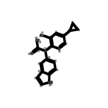 CC(=O)c1cc(C2CC2)cnc1N(C(=O)C(F)(F)F)c1ccc2[nH]ccc2c1